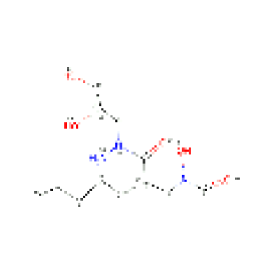 CCCCC[C@@H](CN(O)C=O)C(=O)N(N)C[C@H](O)CO